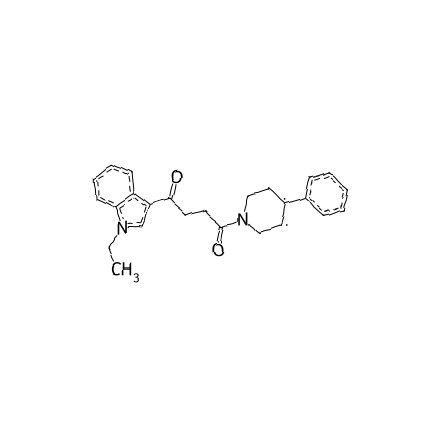 CCn1cc(C(=O)CCC(=O)N2C[CH][C](c3ccccc3)CC2)c2ccccc21